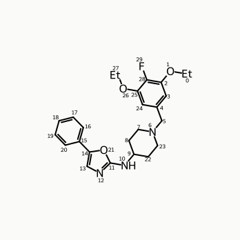 CCOc1cc(CN2CCC(Nc3ncc(-c4ccccc4)o3)CC2)cc(OCC)c1F